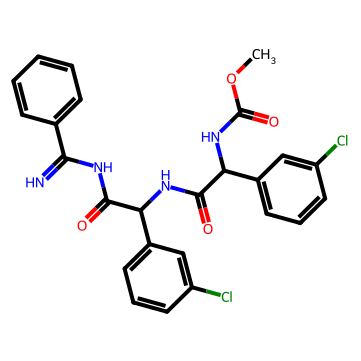 COC(=O)NC(C(=O)NC(C(=O)NC(=N)c1ccccc1)c1cccc(Cl)c1)c1cccc(Cl)c1